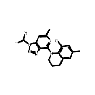 CCC(CC)n1nnc2c(N3CCCc4cc(C)cc(Cl)c43)nc(C)cc21